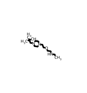 CCNCCOCCN1CCN(CC(C)(C)C)CC1